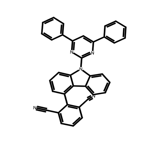 N#Cc1cccc(C#N)c1-c1cccc2c1c1ccccc1n2-c1nc(-c2ccccc2)cc(-c2ccccc2)n1